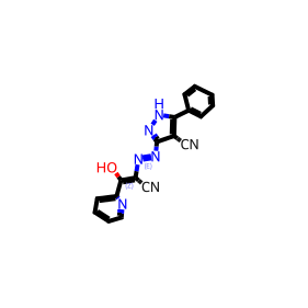 N#CC(/N=N/c1n[nH]c(-c2ccccc2)c1C#N)=C(/O)c1ccccn1